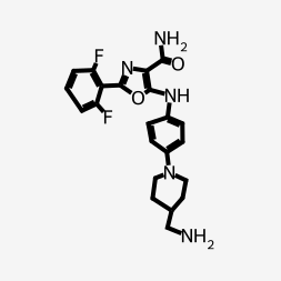 NCC1CCN(c2ccc(Nc3oc(-c4c(F)cccc4F)nc3C(N)=O)cc2)CC1